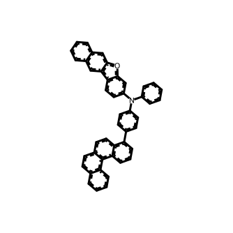 c1ccc(N(c2ccc(-c3cccc4c3ccc3ccc5ccccc5c34)cc2)c2ccc3c(c2)oc2cc4ccccc4cc23)cc1